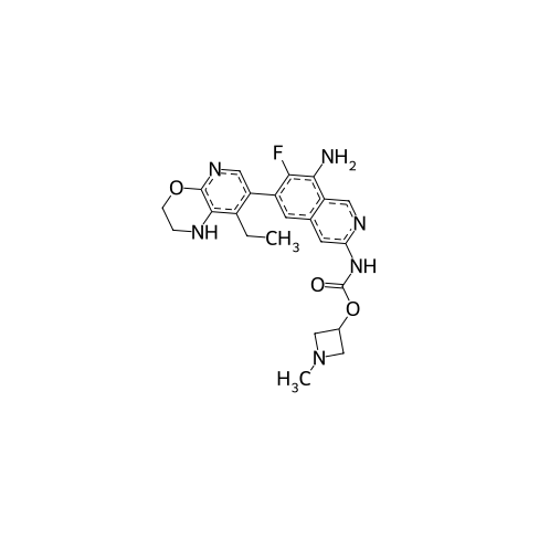 CCc1c(-c2cc3cc(NC(=O)OC4CN(C)C4)ncc3c(N)c2F)cnc2c1NCCO2